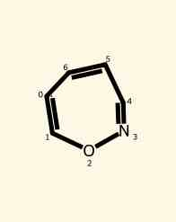 [C]1=CON=CC=C1